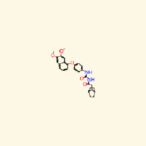 COc1cc2cccc(Oc3ccc(NC(=O)NC(=O)CC4C5CCC4CC5)cc3)c2cc1OC